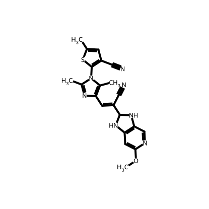 COc1cc2c(cn1)NC(/C(C#N)=C/c1nc(C)n(-c3sc(C)cc3C#N)c1C)N2